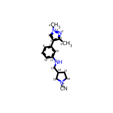 Cc1nn(C)cc1-c1cccc(NCC2CCN(C#N)C2)c1